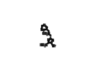 CC(C)c1sc(CCCc2cncnc2C(=O)O)nc1C(=O)O